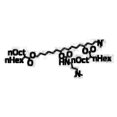 CCCCCCCCC(CCCCCC)C(=O)OCCCCCCC(CCCCCC(CCCN(C)C)OC(=O)C(CCCCCC)CCCCCCCC)OC(=O)NCCCN(C)C